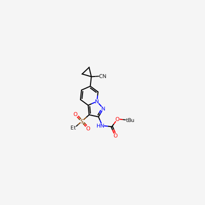 CCS(=O)(=O)c1c(NC(=O)OC(C)(C)C)nn2cc(C3(C#N)CC3)ccc12